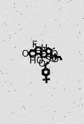 CCC(=O)O[C@]1(C(=O)SCC(=O)c2ccc(C(C)(C)C)cc2)[C@H](C)C[C@H]2[C@@H]3C[C@H](F)C4=CC(=O)C=C[C@]4(C)[C@@]3(F)[C@@H](O)C[C@@]21C